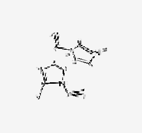 C=CN1CCN=C1C.C=Cn1ccnc1